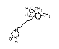 Cc1ccc(OCCCCCCN2CCNC(=O)CC2)c(C(C)(C)C)c1